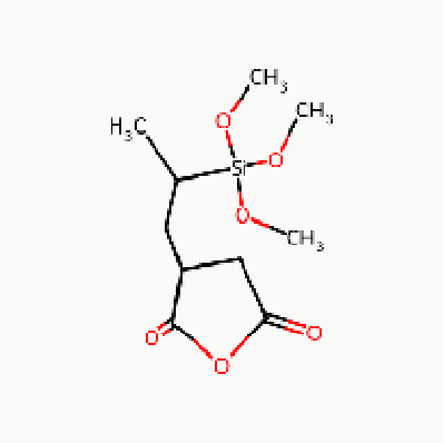 CO[Si](OC)(OC)C(C)CC1CC(=O)OC1=O